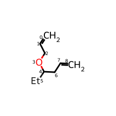 C=CCOC(CC)CC=C